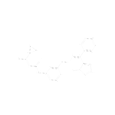 C/C(=C/C(=O)Nc1cccc(CO/N=C(/c2ccccc2)c2nnnn2C)n1)C1CC1